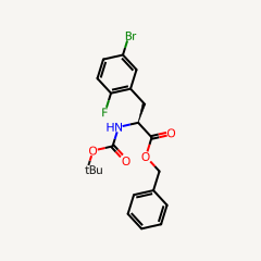 CC(C)(C)OC(=O)N[C@@H](Cc1cc(Br)ccc1F)C(=O)OCc1ccccc1